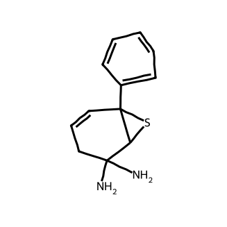 NC1(N)CC=CC2(c3ccccc3)SC12